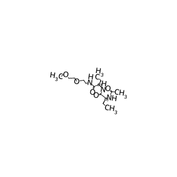 CC[C@H](NC(C)=O)C(=O)N[C@H](CC)C(=O)NCCOCCOC